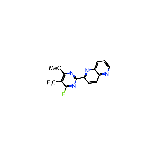 COc1nc(-c2ccc3ncccc3n2)nc(F)c1C(F)(F)F